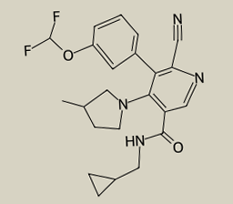 CC1CCN(c2c(C(=O)NCC3CC3)cnc(C#N)c2-c2cccc(OC(F)F)c2)C1